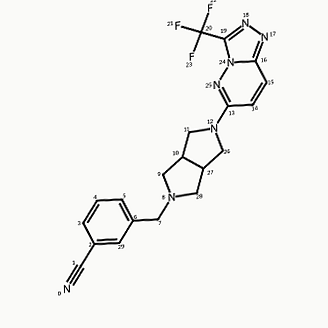 N#Cc1cccc(CN2CC3CN(c4ccc5nnc(C(F)(F)F)n5n4)CC3C2)c1